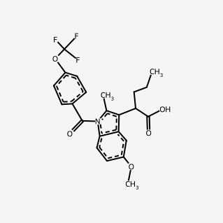 CCCC(C(=O)O)c1c(C)n(C(=O)c2ccc(OC(F)(F)F)cc2)c2ccc(OC)cc12